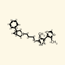 Cc1ncoc1-c1nnc(SCCCN2CC3CC3(c3ccccc3)C2)n1C